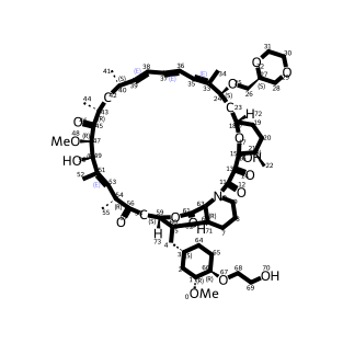 CO[C@@H]1C[C@H](CC2[C@H]3CCCN4C(=O)C(=O)[C@]5(O)O[C@@H](CC[C@H]5C)C[C@H](OC[C@@H]5COCCO5)/C(C)=C/C=C/C=C/[C@@H](C)C[C@@H](C)C(=O)[C@H](OC)[C@H](O)/C(C)=C/[C@@H](C)C(=O)C[C@@H]2OC(=O)C34)CC[C@H]1OCCO